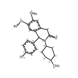 COc1cc2c(cc1OC(C)C)C(c1ccc(Cl)cc1)N(C1CCC(C=O)CC1)C(=O)C2